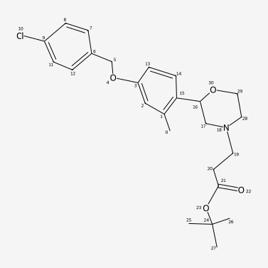 Cc1cc(OCc2ccc(Cl)cc2)ccc1C1CN(CCC(=O)OC(C)(C)C)CCO1